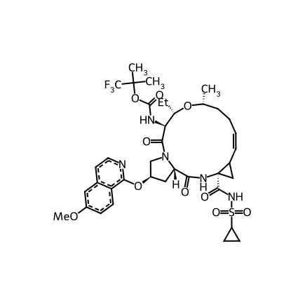 CC[C@@H]1O[C@H](C)CC/C=C\C2C[C@@]2(C(=O)NS(=O)(=O)C2CC2)NC(=O)[C@@H]2C[C@@H](Oc3nccc4cc(OC)ccc34)CN2C(=O)[C@H]1NC(=O)OC(C)(C)C(F)(F)F